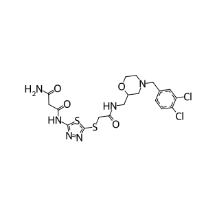 NC(=O)CC(=O)Nc1nnc(SCC(=O)NCC2CN(Cc3ccc(Cl)c(Cl)c3)CCO2)s1